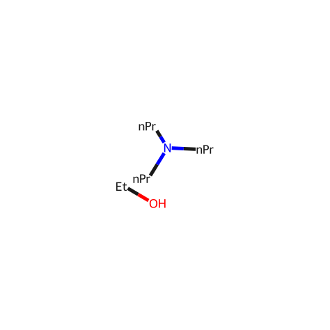 CCCN(CCC)CCC.CCO